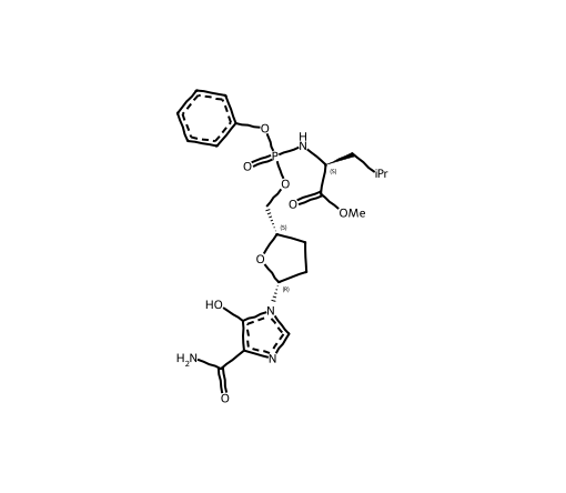 COC(=O)[C@H](CC(C)C)NP(=O)(OC[C@@H]1CC[C@H](n2cnc(C(N)=O)c2O)O1)Oc1ccccc1